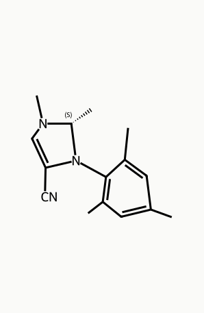 Cc1cc(C)c(N2C(C#N)=CN(C)[C@@H]2C)c(C)c1